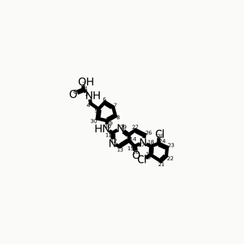 O=C(O)NCc1cccc(Nc2ncc3c(=O)n(-c4c(Cl)cccc4Cl)ccc3n2)c1